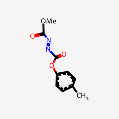 COC(=O)/N=N/C(=O)Oc1ccc(C)cc1